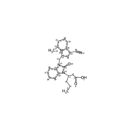 CCCC(CC(=O)O)n1c(=O)n(Cc2cc(C#N)c3cccc(C)n23)c2ccccc21